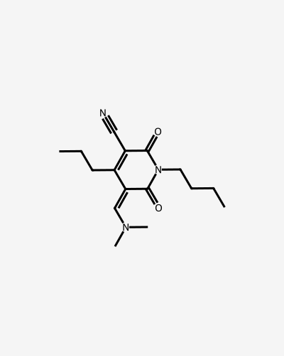 CCCCN1C(=O)C(=CN(C)C)C(CCC)=C(C#N)C1=O